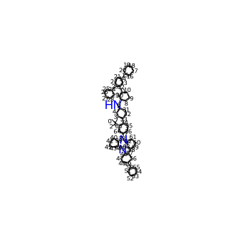 CC1(C)c2cc(Nc3cccc(-c4cc(-c5ccccc5)ccc4-c4ccccc4)c3)ccc2-c2ccc(N3c4ccccc4-n4c5ccc(-c6ccccc6)cc5c5cccc3c54)cc21